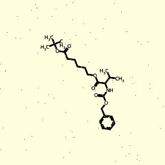 CC(C)C(NC(=O)OCc1ccccc1)C(=O)OCCCCCC(=O)OC(C)(C)C